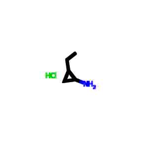 CCC1CC1N.Cl